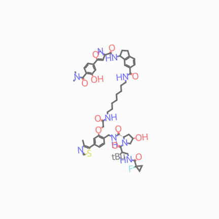 Cc1ncsc1-c1ccc(CNC(=O)[C@@H]2C[C@@H](O)CN2C(=O)C(CNC(=O)C2(F)CC2)C(C)(C)C)c(OCC(=O)NCCCCCCCCNC(=O)c2ccc3c(c2)C(NC(=O)c2cc(-c4ccc(C(=O)N(C)C)c(O)c4)on2)CC3)c1